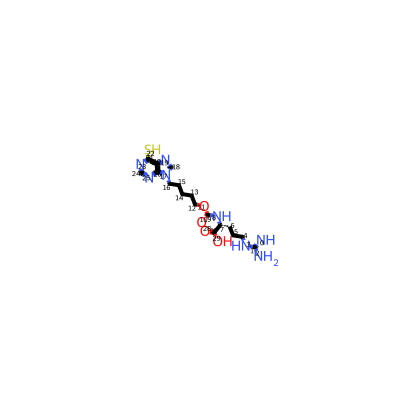 N=C(N)NCCC[C@@H](NC(=O)OCCCCCn1cnc2c(S)ncnc21)C(=O)O